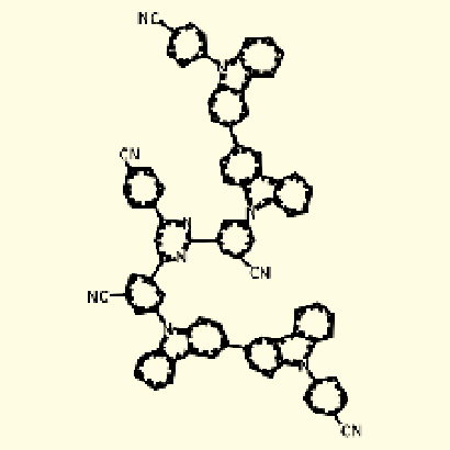 N#Cc1ccc(-c2cc(-c3cc(C#N)cc(-n4c5ccccc5c5cc(-c6ccc7c(c6)c6ccccc6n7-c6ccc(C#N)cc6)ccc54)c3)nc(-c3cc(C#N)cc(-n4c5ccccc5c5cc(-c6ccc7c(c6)c6ccccc6n7-c6ccc(C#N)cc6)ccc54)c3)n2)cc1